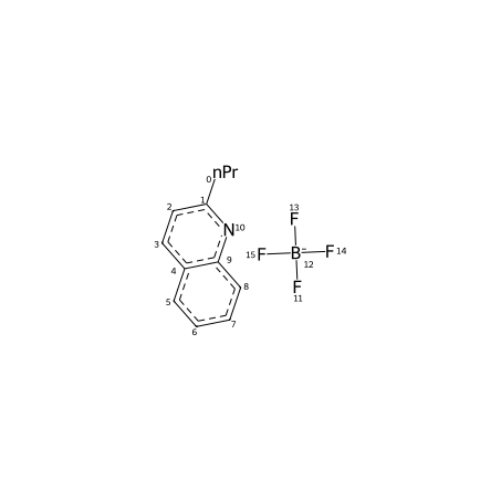 CCCc1ccc2ccccc2n1.F[B-](F)(F)F